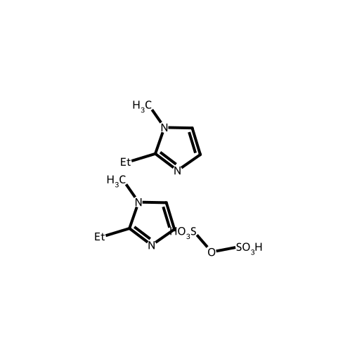 CCc1nccn1C.CCc1nccn1C.O=S(=O)(O)OS(=O)(=O)O